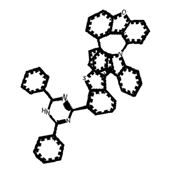 c1ccc(C2=NC(c3cccc4c3sc3cc(-c5cccc6oc7cccc(-n8c9ccccc9c9ccccc98)c7c56)ccc34)=NC(c3ccccc3)N2)cc1